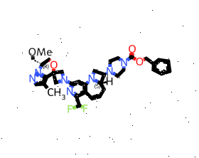 COC[C@@H]1COC2(CN(c3cc4c(c(C(F)F)n3)C=CC[C@H]3[C@H](N5CCN(C(=O)OCc6ccccc6)CC5)CN43)C2)c2c(C)cnn21